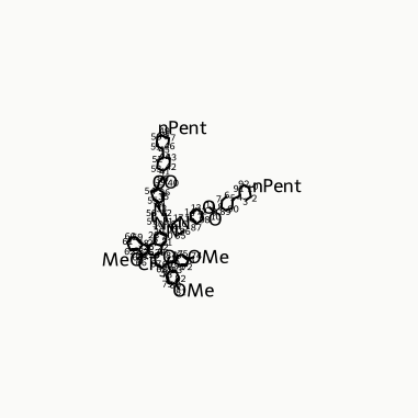 CCCCC[C@H]1CC[C@H]([C@H]2CC[C@H](C(=O)Oc3ccc(N4CCN(c5cc6c7c(c8c(c6cc5N5CCN(c6ccc(OC(=O)[C@H]9CC[C@H]([C@H]%10CC[C@H](CCCCC)CC%10)CC9)cc6)CC5)-c5ccccc5C8(OC)C(F)(F)F)C=CC(c5ccc(OC)cc5)(c5ccc(OC)cc5)O7)CC4)cc3)CC2)CC1